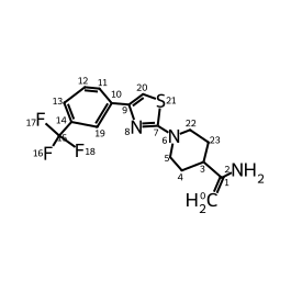 C=C(N)C1CCN(c2nc(-c3cccc(C(F)(F)F)c3)cs2)CC1